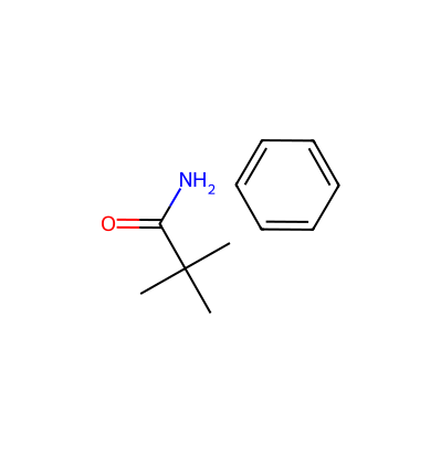 CC(C)(C)C(N)=O.c1ccccc1